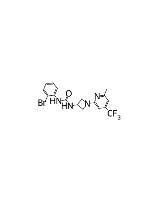 Cc1cc(C(F)(F)F)cc(N2CC(NC(=O)Nc3ccccc3Br)C2)n1